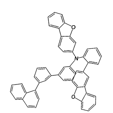 c1cc(-c2cccc(N(c3ccc4c(c3)oc3ccccc34)c3ccccc3-c3ccc4oc5ccccc5c4c3)c2)cc(-c2cccc3ccccc23)c1